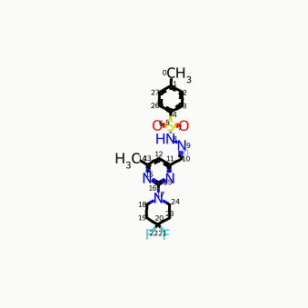 Cc1ccc(S(=O)(=O)N/N=C\c2cc(C)nc(N3CCC(F)(F)CC3)n2)cc1